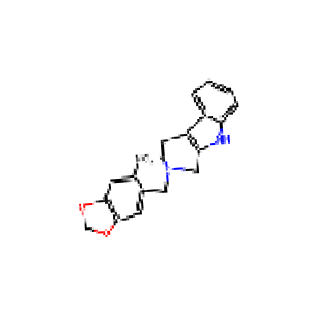 O=[N+]([O-])c1cc2c(cc1CN1CCc3c([nH]c4ccccc34)C1)OCO2